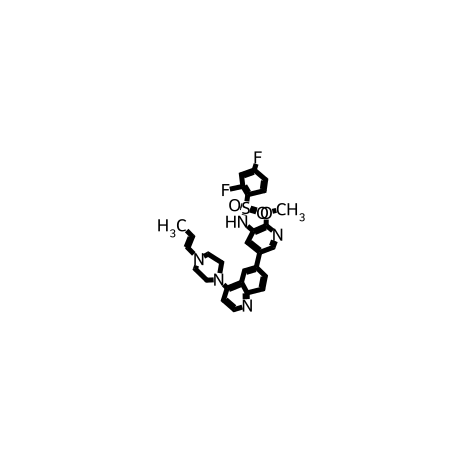 CC=CN1CCN(c2ccnc3ccc(-c4cnc(OC)c(NS(=O)(=O)c5ccc(F)cc5F)c4)cc23)CC1